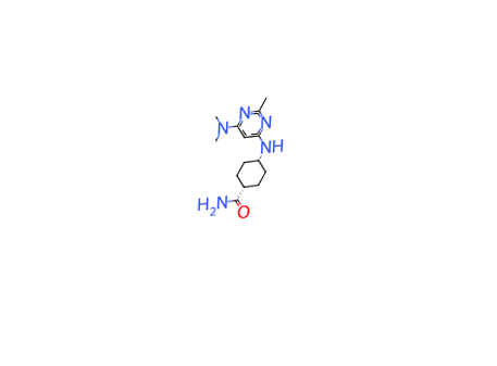 Cc1nc(N[C@H]2CC[C@@H](C(N)=O)CC2)cc(N(C)C)n1